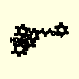 CN(CCCOc1ccccc1)Cc1cnc(C(O)(c2ccccc2)C2CCCCC2)o1